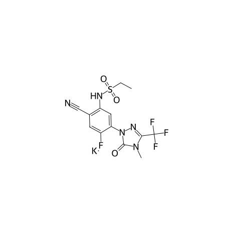 CCS(=O)(=O)Nc1cc(-n2nc(C(F)(F)F)n(C)c2=O)c(F)cc1C#N.[K]